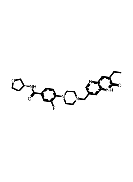 CCc1cc2ncc(CN3CCN(c4ccc(C(=O)N[C@H]5CCOC5)cc4F)CC3)cc2[nH]c1=O